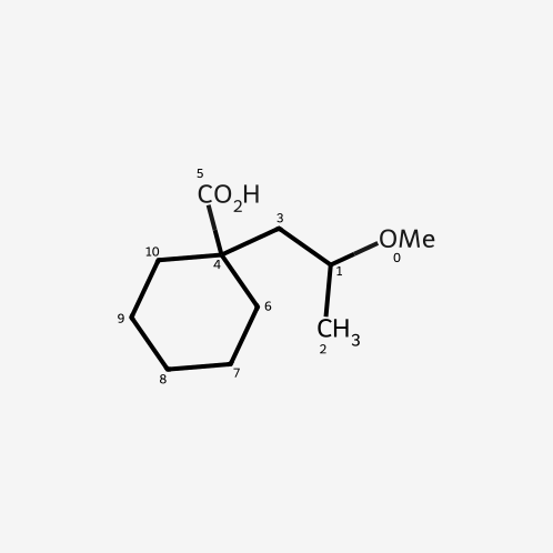 COC(C)CC1(C(=O)O)CCCCC1